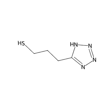 SCCCc1nnn[nH]1